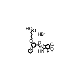 Br.COc1cc2c(c(F)c1OC)C(=N)N(CC(=O)c1cc(OCCCCC(=O)O)cc(N3CCCC3)c1)C2